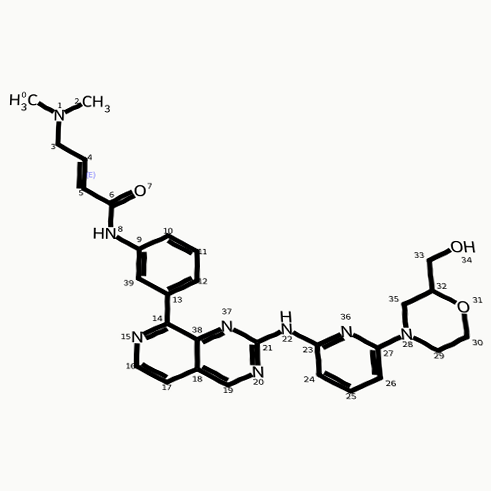 CN(C)C/C=C/C(=O)Nc1cccc(-c2nccc3cnc(Nc4cccc(N5CCOC(CO)C5)n4)nc23)c1